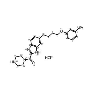 CC(C)c1cccc(OCCCCc2ccc3nc(C(=O)N4CCNCC4)[nH]c3c2)c1.Cl